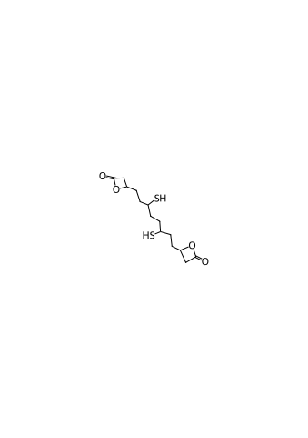 O=C1CC(CCC(S)CCC(S)CCC2CC(=O)O2)O1